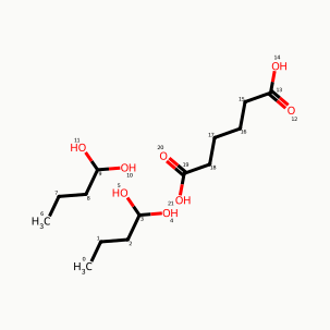 CCCC(O)O.CCCC(O)O.O=C(O)CCCCC(=O)O